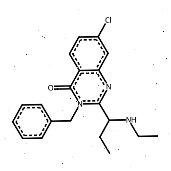 CCNC(CC)c1nc2cc(Cl)ccc2c(=O)n1Cc1ccccc1